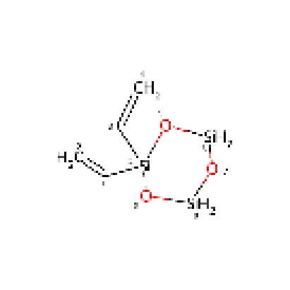 C=C[Si]1(C=C)O[SiH2]O[SiH2]O1